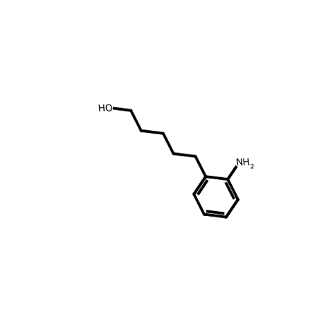 Nc1ccccc1CCCCCO